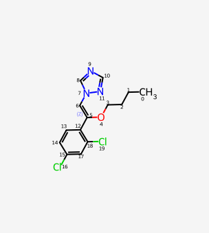 CCCCO/C(=C\n1cncn1)c1ccc(Cl)cc1Cl